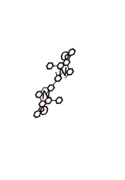 Cc1cc(-c2ccc(N(c3cccc(-c4ccccc4)c3)c3c(C)cccc3-c3ccc4oc5ccccc5c4c3)c(C)c2)ccc1N(c1cccc(-c2ccccc2)c1)c1c(C)cccc1-c1ccc2oc3ccccc3c2c1